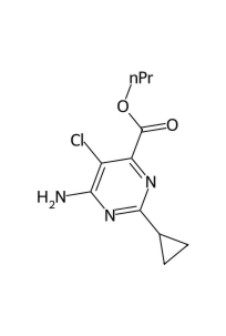 CCCOC(=O)c1nc(C2CC2)nc(N)c1Cl